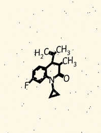 C=C(C)C1c2ccc(F)cc2N(C2CC2)C(=O)C1C